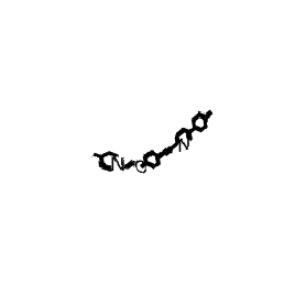 CC1CC=C(c2ccc(C#Cc3ccc(OCCN4CCC(C)CC4)cc3)nc2)CC1